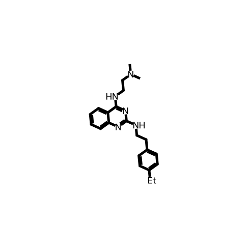 CCc1ccc(CCNc2nc(NCCN(C)C)c3ccccc3n2)cc1